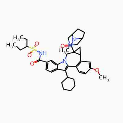 CCC(CC)S(=O)(=O)NC(=O)c1ccc2c(C3CCCCC3)c3n(c2c1)CC1(C(=O)N2C4CCC2CN(C)C4)CC1c1cc(OC)ccc1-3